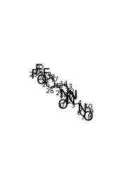 O=c1n(CCN2CCOCC2)nc2ccc(-c3ccc(OC(F)(F)F)cc3)cn12